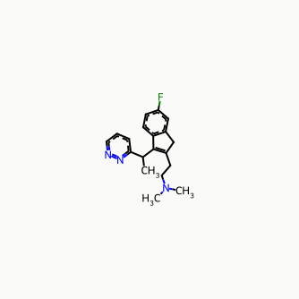 CC(C1=C(CCN(C)C)Cc2cc(F)ccc21)c1cccnn1